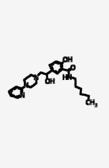 CCCCCCNC(=O)c1cc(C(O)CN2CCN(c3ccccn3)CC2)ccc1O